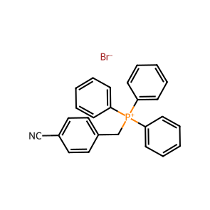 N#Cc1ccc(C[P+](c2ccccc2)(c2ccccc2)c2ccccc2)cc1.[Br-]